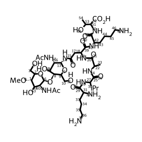 CO[C@@H]1C(CO)O[C@@H](O[C@@H]2C(CO)O[C@@H](NC(=O)CC(NC(=O)C(C)NC(=O)C(NC(=O)C(N)CCCCN)C(C)C)C(=O)NC(CCCCN)C(=O)NC(C(=O)O)C(C)O)[C@@H](NC(C)=O)C2O)[C@@H](NC(C)=O)C1O